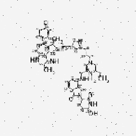 CCCCN(/C=C(\N)CNC1=CC=CC2C(=O)N(C3CCC(O)NC3=O)CC12)CCCn1cc(C#CC2SC3=C(C(c4ccc(Cl)cc4)=NCC(=N)N3C(=N)CC)[C@H]2C)cn1